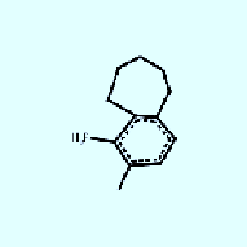 Cc1ccc2c(c1P)CCCCC2